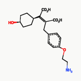 NCCOc1ccc(CC(C(=O)O)=C(C(=O)O)[C@H]2CC[C@@H](O)CC2)cc1